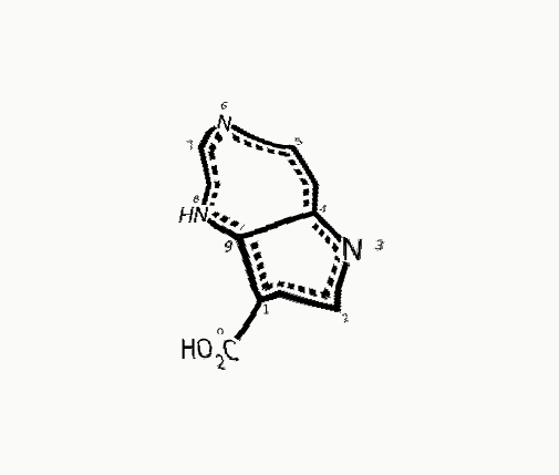 O=C(O)c1cnc2cnc[nH]c1-2